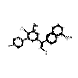 Cc1ccc(-c2cc(/C(=N/O)c3ccc4c(C(=O)O)cccc4c3)cc(C(C)(C)C)c2OCC(C)C)cc1